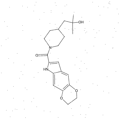 CC(C)(O)CC1CCN(C(=O)c2cc3cc4c(cc3[nH]2)OCCO4)CC1